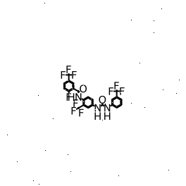 O=C(Nc1cccc(C(F)(F)F)c1)Nc1ccc(NC(=O)c2cc(C(F)(F)F)ccc2F)c(C(F)(F)F)c1